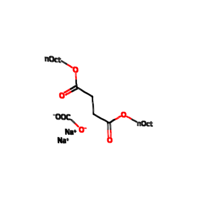 CCCCCCCCOC(=O)CCC(=O)OCCCCCCCC.O=C([O-])[O-].[Na+].[Na+]